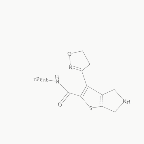 CCCCCNC(=O)c1sc2c(c1C1=NOCC1)CNC2